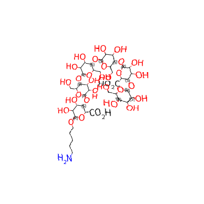 NCCCCCO[C@@H]1OC(C(=O)O)[C@@H](O[C@H]2OC(CO)[C@H](O[C@H]3OC(CO)[C@@H](O[C@@H]4OC(CO)[C@@H](O[C@@H]5OC(C(=O)O)[C@@H](O[C@H]6OC(CO)[C@H](O)C(O)[C@@H]6O)C(O)C5O)C(O)C4O)C(O)C3O)C(O)C2O)C(O)C1O